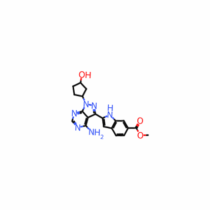 COC(=O)c1ccc2cc(-c3nn(C4CCC(O)C4)c4ncnc(N)c34)[nH]c2c1